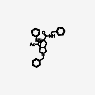 CC(=O)C1NC2(C(=O)NCc3ccccc3)CC3CN(Cc4ccccc4)C(C31)C2Cc1ccccc1